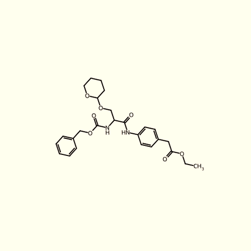 CCOC(=O)Cc1ccc(NC(=O)C(COC2CCCCO2)NC(=O)OCc2ccccc2)cc1